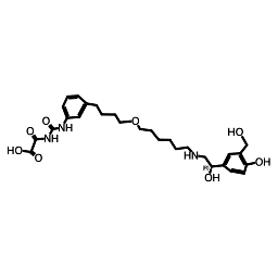 O=C(NC(=O)C(=O)O)Nc1cccc(CCCCOCCCCCCNC[C@H](O)c2ccc(O)c(CO)c2)c1